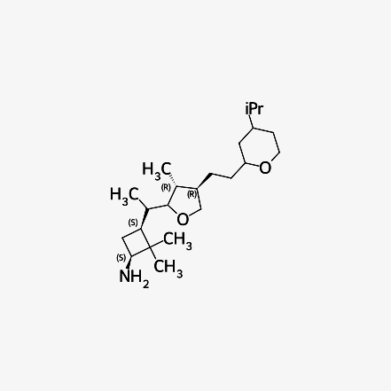 CC(C)C1CCOC(CC[C@H]2COC(C(C)[C@@H]3C[C@H](N)C3(C)C)[C@@H]2C)C1